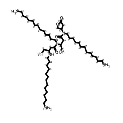 NCCCCCCCCCCCCCNC(CO)CC(=O)N(CCCCCCCCCCCCCN)C(CO)CC(=O)N(CCCCCCCCCCCCCN)C1COC(=O)C1